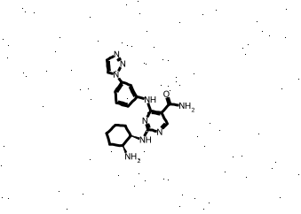 NC(=O)c1cnc(N[C@@H]2CCCC[C@@H]2N)nc1Nc1cccc(-n2ccnn2)c1